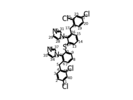 Clc1ccc(Cc2cccc(Sc3cccc(Cc4ccc(Cl)cc4Cl)c3-n3ccnc3)c2-n2ccnc2)c(Cl)c1